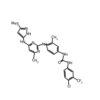 CSc1cc(Nc2cc(C)nc(Nc3ccc(NC(=O)Nc4ccc(Cl)c(C(F)(F)F)c4)cc3C)n2)[nH]n1